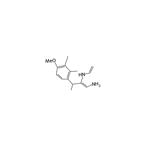 C=CN/C(=C\N)C(C)c1ccc(OC)c(C)c1C